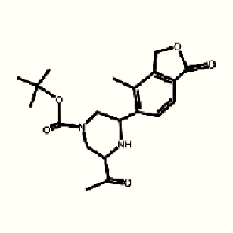 CC(=O)C1CN(C(=O)OC(C)(C)C)CC(c2ccc3c(c2C)COC3=O)N1